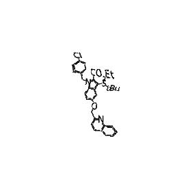 CCOC(=O)c1c(SC(C)(C)C)c2cc(OCc3ccc4ccccc4n3)ccc2n1Cc1ccc(Cl)cc1